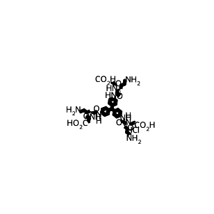 Cl.NCCCC[C@@H](NC(=O)CC(=O)O)C(=O)Nc1ccc(C(c2ccc(NC(=O)[C@@H](CCCCN)NC(=O)CC(=O)O)cc2)c2ccc(NC(=O)[C@@H](CCCCN)NC(=O)CC(=O)O)cc2)cc1